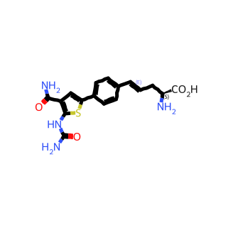 NC(=O)Nc1sc(-c2ccc(/C=C/C[C@H](N)C(=O)O)cc2)cc1C(N)=O